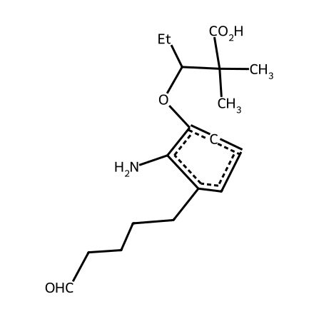 CCC(Oc1cccc(CCCCC=O)c1N)C(C)(C)C(=O)O